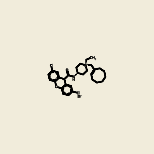 CC[N@+]1(C/C2=C/CCCCCC2)CC[C@@H](NC(=O)C2c3cc(Cl)ccc3Oc3ccc(Cl)cc32)CC1.[Br-]